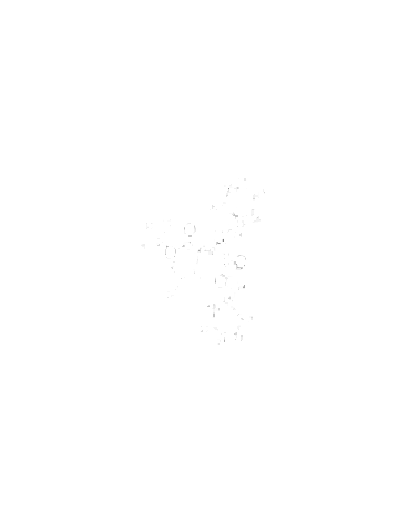 CC(C)CC(C(=O)OC(C)(C)C)C(OCc1ccccc1)C(=O)OCc1ccccc1